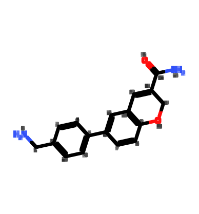 NCc1ccc(-c2ccc3c(c2)C=C(C(N)=O)CO3)cc1